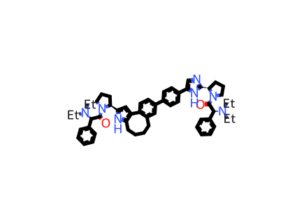 CCN(CC)[C@@H](C(=O)N1CCC[C@H]1c1cc2c([nH]1)CCCCc1cc(-c3ccc(-c4cnc([C@@H]5CCCN5C(=O)[C@@H](c5ccccc5)N(CC)CC)[nH]4)cc3)ccc1-2)c1ccccc1